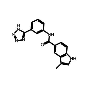 Cc1c[nH]c2ccc(C(=O)Nc3cccc(-c4nnn[nH]4)c3)cc12